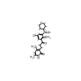 CCCN(c1cc(Cl)cc(C(=O)CCc2c(C)cc(C)[nH]c2=O)c1C)C1CCOCC1